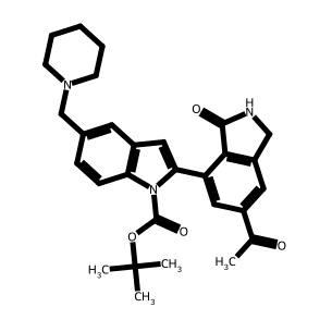 CC(=O)c1cc2c(c(-c3cc4cc(CN5CCCCC5)ccc4n3C(=O)OC(C)(C)C)c1)C(=O)NC2